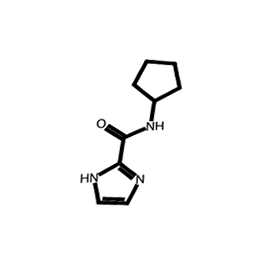 O=C(NC1CCCC1)c1ncc[nH]1